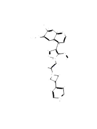 C=Nc1c(-c2ccnc3cc(F)c(OC)cc23)cnn1/C=C(\C)N1CC(c2ccncc2)C1